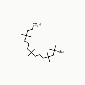 CC(C)(CCSC(C)(C)CCOC(C)(C)CCC(=O)O)CC(C)(C)C(C)(C)C